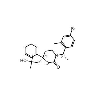 Cc1cc(Br)ccc1[C@H](C)N1CC[C@](CC(C)(C)O)(C2=CCCC=C2)OC1=O